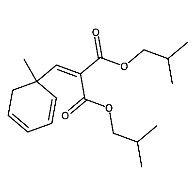 CC(C)COC(=O)C(=CC1(C)C=CC=CC1)C(=O)OCC(C)C